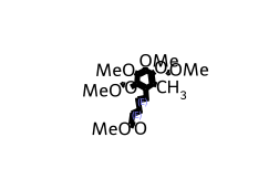 COCOc1c(C)c(/C=C/C=C/C(=O)OC)c(OCOC)c(OC)c1OC